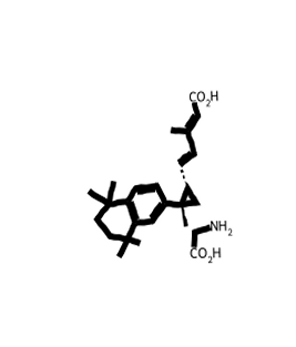 CC(/C=C/[C@@H]1C[C@]1(C)c1ccc2c(c1)C(C)(C)CCC2(C)C)=C\C(=O)O.NCC(=O)O